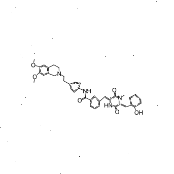 COc1cc2c(cc1OC)CN(CCc1ccc(NC(=O)c3cccc(/C=c4\[nH]c(=O)/c(=C/c5ccccc5O)n(C)c4=O)c3)cc1)CC2